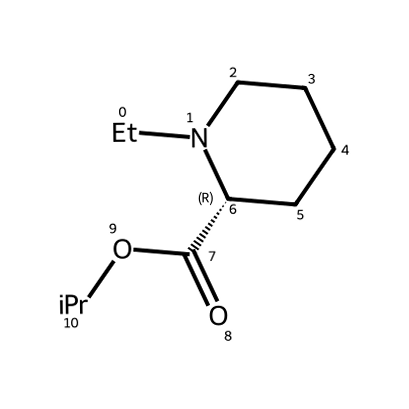 CCN1CCCC[C@@H]1C(=O)OC(C)C